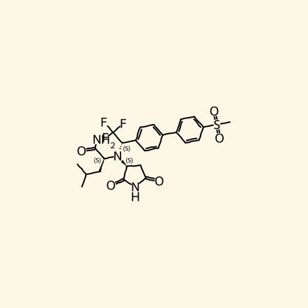 CC(C)C[C@@H](C(N)=O)N([C@@H](c1ccc(-c2ccc(S(C)(=O)=O)cc2)cc1)C(F)(F)F)[C@H]1CC(=O)NC1=O